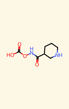 O=C(O)ONC(=O)C1CCCNC1